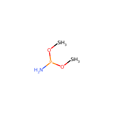 NP(O[SiH3])O[SiH3]